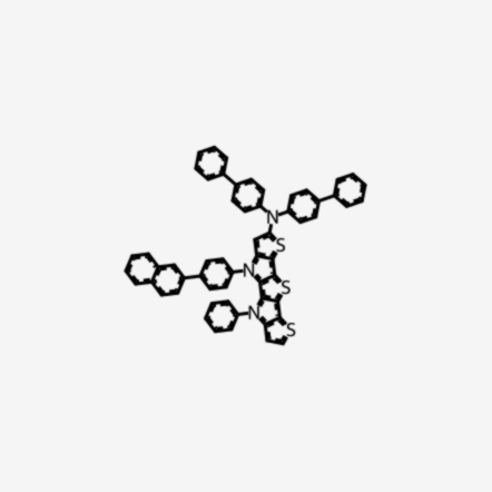 c1ccc(-c2ccc(N(c3ccc(-c4ccccc4)cc3)c3cc4c(s3)c3sc5c6sccc6n(-c6ccccc6)c5c3n4-c3ccc(-c4ccc5ccccc5c4)cc3)cc2)cc1